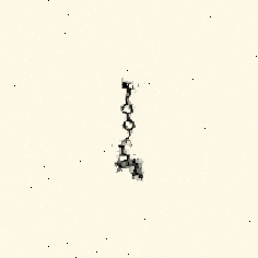 CC(C[Si](C)(O[SiH](C)O[Si](C)(C)C)O[Si](C)(C)C)C(=O)OCCc1ccc(-c2ccc(CCP(=O)=S=S)cc2)cc1